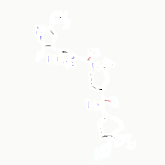 Cc1cc(-c2cc(C(=O)N3CC[C@@H](C(=O)NC4CCC(O)(C(F)(F)F)CC4)CC34CC4)n[nH]2)c(F)cn1